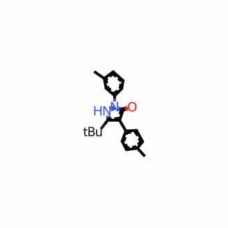 Cc1ccc(-c2c(C(C)(C)C)[nH]n(-c3cccc(C)c3)c2=O)cc1